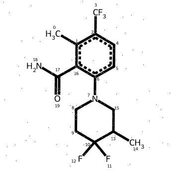 Cc1c(C(F)(F)F)ccc(N2CCC(F)(F)C(C)C2)c1C(N)=O